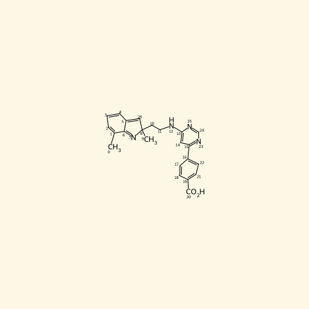 Cc1cccc2c1=NC(C)(CCNc1cc(-c3ccc(C(=O)O)cc3)ncn1)C=2